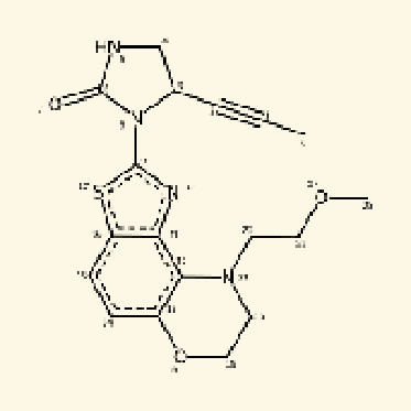 CC#CC1CNC(=O)N1c1nc2c3c(ccc2s1)OCCN3CCOC